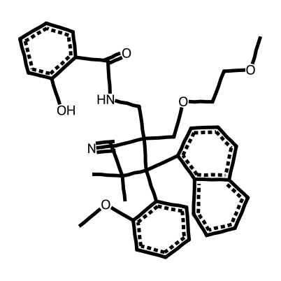 COCCOCC(C#N)(CNC(=O)c1ccccc1O)C(c1ccccc1OC)(c1cccc2ccccc12)C(C)(C)C